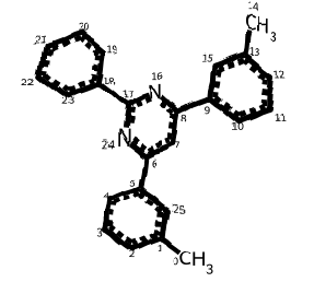 Cc1cccc(-c2cc(-c3cccc(C)c3)nc(-c3ccccc3)n2)c1